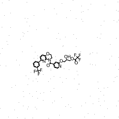 O=C(c1ccnc(OCC(O)COC(=O)C(F)(F)F)c1)N1CCOc2ccc(-c3cccc(C(F)(F)F)c3)nc21